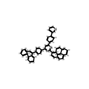 c1cncc(-c2ccc(-c3cc(-c4ccc(-c5cc6ccccc6c6ccccc56)cc4)nc(-c4ccc5ccc6cccc7ccc4c5c67)n3)cc2)c1